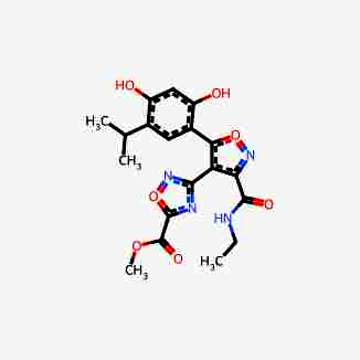 CCNC(=O)c1noc(-c2cc(C(C)C)c(O)cc2O)c1-c1noc(C(=O)OC)n1